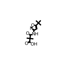 CC(C)(C(=O)O)C(=O)Nc1cc(C(C)(C)C)on1